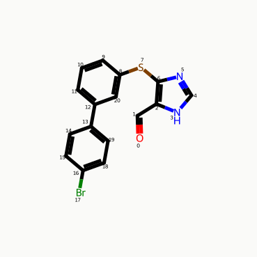 O=Cc1[nH]cnc1Sc1cccc(-c2ccc(Br)cc2)c1